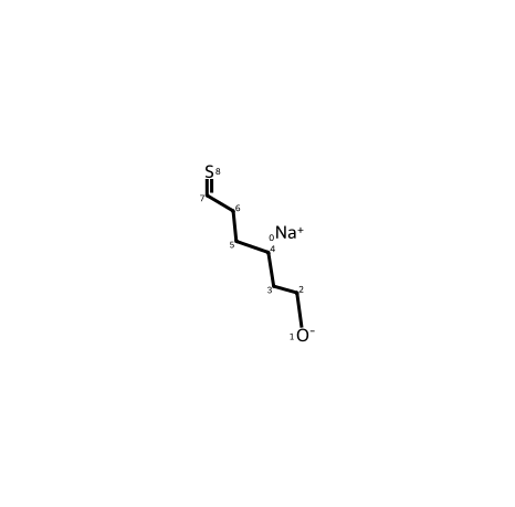 [Na+].[O-]CCCCCC=S